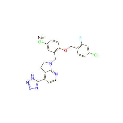 Fc1cc(Cl)ccc1COc1ccc(Cl)cc1CN1CCc2c(-c3nnn[nH]3)ccnc21.[NaH]